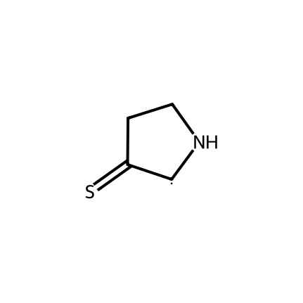 S=C1[CH]NCC1